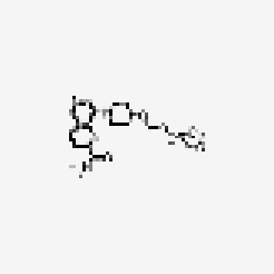 NC(=O)c1ccc2cncc(N3CCC(OCCO[C@H]4CCOC4)CC3)c2n1